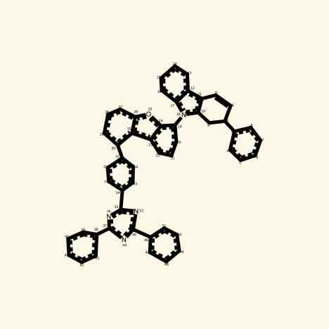 C1=CC(c2ccccc2)Cc2c1c1ccccc1n2-c1cccc2c1oc1cccc(-c3ccc(-c4nc(-c5ccccc5)nc(-c5ccccc5)n4)cc3)c12